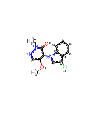 COc1cnn(C)c(=O)c1-n1cc(Cl)c2ccccc21